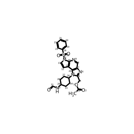 CC(=O)OCc1nc2cnc3c(ccn3S(=O)(=O)c3ccccc3)c2n1C1CCC(NC=O)CC1